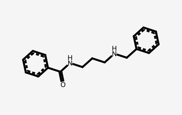 O=C(NCCCNCc1ccccc1)c1ccccc1